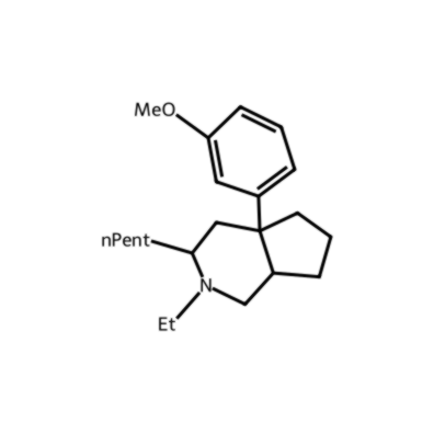 CCCCCC1CC2(c3cccc(OC)c3)CCCC2CN1CC